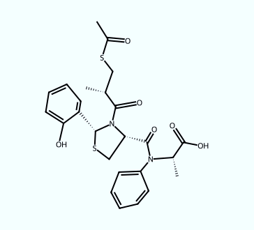 CC(=O)SC[C@@H](C)C(=O)N1[C@@H](c2ccccc2O)SC[C@H]1C(=O)N(c1ccccc1)[C@@H](C)C(=O)O